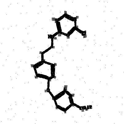 CCOC(=O)c1ccc(Oc2ccc(CCNc3cc(Cl)ncn3)cc2)nc1